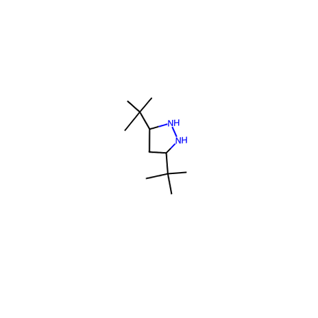 CC(C)(C)C1CC(C(C)(C)C)NN1